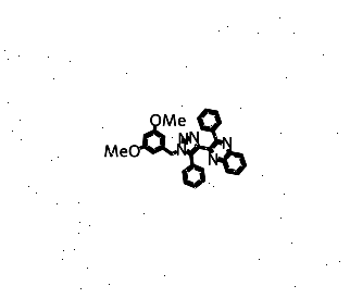 COc1cc(Cn2nnc(-c3nc4ccccc4nc3-c3ccccc3)c2-c2ccccc2)cc(OC)c1